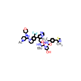 CC(=O)N1CCc2c(c(N3CCCc4cc(-c5cc6nccn6cc5CC(=O)N[C@H](C(=O)N5C[C@H](O)C[C@H]5C(=O)N[C@@H](C)c5ccc(-c6scnc6C)cc5)C(C)(C)C)c(C(F)F)cc43)nn2C2CCOCC2)C1